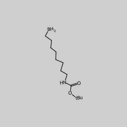 BCCCCCCCCNC(=O)OC(C)(C)C